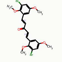 COc1cc(Br)c(OC)c(/C=C/C(=O)/C=C/c2cc(OC)cc(Br)c2OC)c1